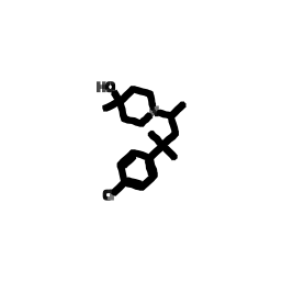 CC(CC(C)(C)c1ccc(Cl)cc1)N1CCC(C)(O)CC1